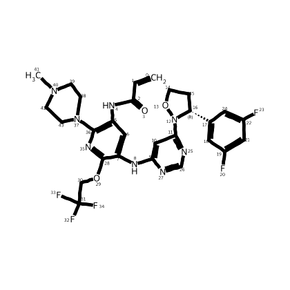 C=CC(=O)Nc1cc(Nc2cc(N3OCC[C@@H]3c3cc(F)cc(F)c3)ncn2)c(OCC(F)(F)F)nc1N1CCN(C)CC1